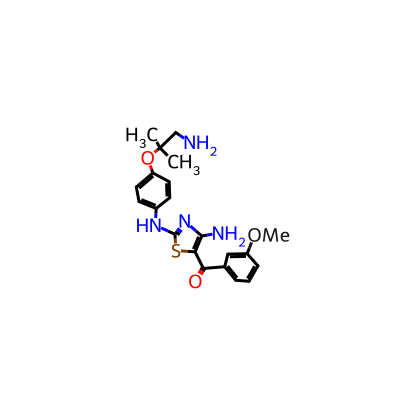 COc1cccc(C(=O)c2sc(Nc3ccc(OC(C)(C)CN)cc3)nc2N)c1